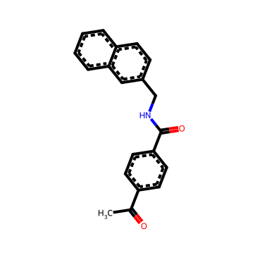 CC(=O)c1ccc(C(=O)NCc2ccc3ccccc3c2)cc1